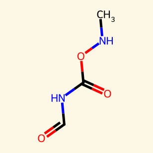 CNOC(=O)NC=O